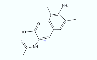 CC(=O)N/C(=C/c1cc(C)c(N)c(C)c1)C(=O)O